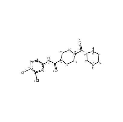 O=C(Nc1ccc(Cl)c(Cl)c1)N1CCN(C(=O)[C@H]2CNCCN2)CC1